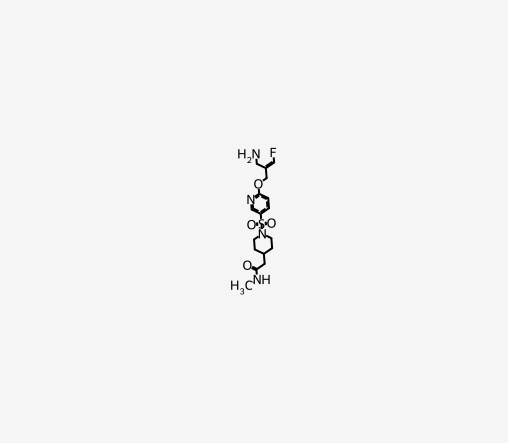 CNC(=O)CC1CCN(S(=O)(=O)c2ccc(OC/C(=C/F)CN)nc2)CC1